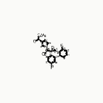 COC(=O)c1cn([C@H](Cl)[C@]2(c3ccc(F)cc3)O[C@H]2c2ccccc2Cl)cn1